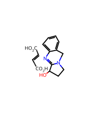 O=C(O)/C=C/C(=O)O.OC1CCN2Cc3ccccc3N=C12